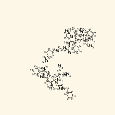 CC[C@H](NC)C(=O)N[C@@H]1C(=O)N2[C@@H](CC[C@@H]1CNCc1ccccc1)CC[C@H]2C(=O)N[C@H](C(=O)NCCOCC1CCC(COCCNC(=O)[C@@H](NC(=O)[C@@H]2CC[C@@H]3CC[C@H](CNCc4ccccc4)[C@H](NC(=O)[C@H](CC)NC)C(=O)N32)c2ccccc2)CC1)c1ccccc1